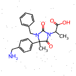 CC(C(=O)O)N1C(=O)N(Cc2ccccc2)C(C)(c2ccc(CN)cc2)C1=O